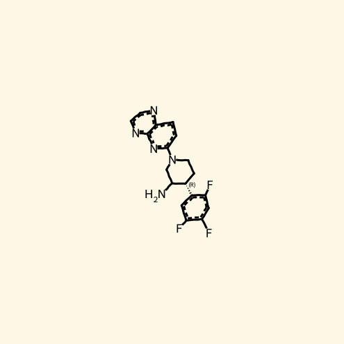 NC1CN(c2ccc3nccnc3n2)CC[C@@H]1c1cc(F)c(F)cc1F